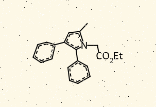 CCOC(=O)Cn1c(C)cc(-c2ccccc2)c1-c1ccccc1